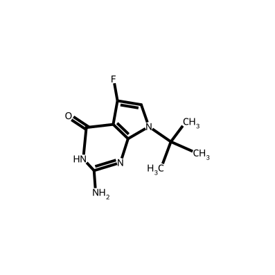 CC(C)(C)n1cc(F)c2c(=O)[nH]c(N)nc21